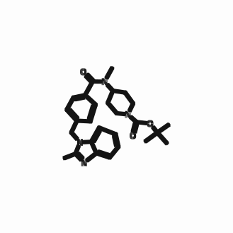 Cc1nc2ccccc2n1Cc1ccc(C(=O)N(C)C2CCN(C(=O)OC(C)(C)C)CC2)cc1